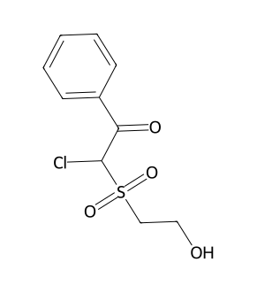 O=C(c1ccccc1)C(Cl)S(=O)(=O)CCO